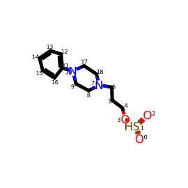 O=[SH](=O)OCCCN1CCN(c2ccccc2)CC1